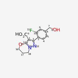 O=C(O)c1c(-c2ccc(CO)cc2F)nn2c1OCCC2